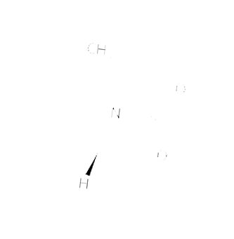 CC1CC[C@H]2COC(=O)N12